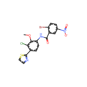 COc1c(NC(=O)c2cc([N+](=O)[O-])ccc2Br)ccc(-c2nccs2)c1Cl